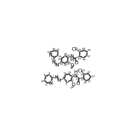 COc1cc(/N=N/c2ccccn2)ccc1NC(=O)c1ccccc1Cl.COc1cc(/N=N\c2ccccn2)ccc1NC(=O)c1ccccc1Cl